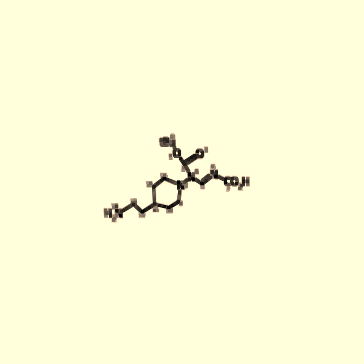 CC(C)(C)OC(=O)N(C=NC(=O)O)N1CCC(CCN)CC1